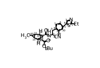 CCc1ncc(-c2ccc(C[C@@H](C#N)NC(=O)[C@@H]3[C@@H]4C[C@@H](C5C(C)C54)N3C(=O)OC(C)(C)C)c(F)c2)s1